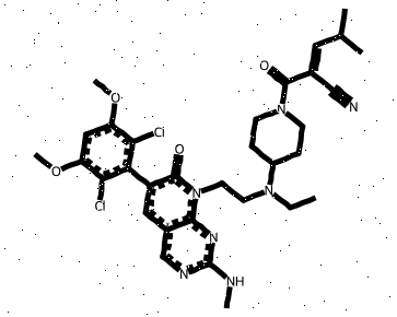 CCN(CCn1c(=O)c(-c2c(Cl)c(OC)cc(OC)c2Cl)cc2cnc(NC)nc21)C1CCN(C(=O)C(C#N)=CC(C)C)CC1